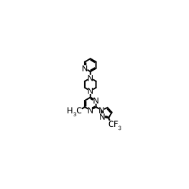 Cc1cc(N2CCN(c3ccccn3)CC2)nc(-n2ccc(C(F)(F)F)n2)n1